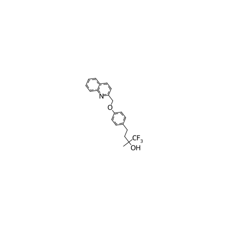 CC(O)(CCc1ccc(OCc2ccc3ccccc3n2)cc1)C(F)(F)F